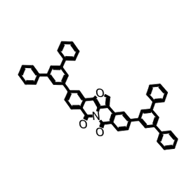 O=c1c2ccc(-c3cc(-c4ccccc4)cc(-c4ccccc4)c3)cc2c2coc3c4cc(-c5cc(-c6ccccc6)cc(-c6ccccc6)c5)ccc4c(=O)n1c23